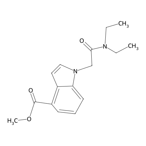 CCN(CC)C(=O)Cn1ccc2c(C(=O)OC)cccc21